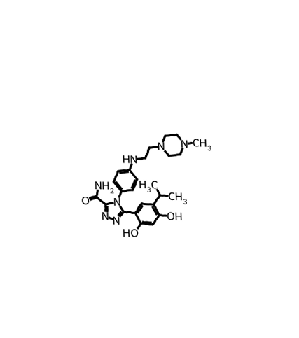 CC(C)c1cc(-c2nnc(C(N)=O)n2-c2ccc(NCCN3CCN(C)CC3)cc2)c(O)cc1O